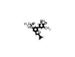 Cc1cc(-c2cc(N[S+](C)[O-])cc3c2OC(C2CC2)C3)cn(C)c1=O